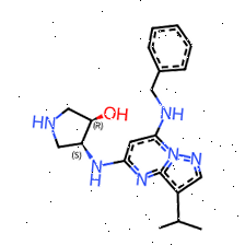 CC(C)c1cnn2c(NCc3ccccc3)cc(N[C@H]3CNC[C@H]3O)nc12